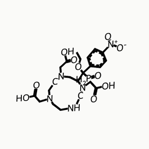 CCOC([PH2]=O)(c1ccc([N+](=O)[O-])cc1)C1CN(CC(=O)O)CCN(CC(=O)O)CCNCCN1CC(=O)O